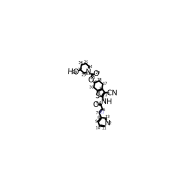 N#Cc1c(NC(=O)/C=C/c2cccnc2)sc2c1CCC(OC(=O)N1CCCC(O)C1)C2